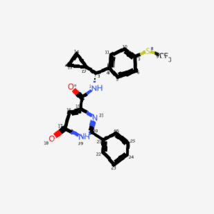 O=C(N[C@@H](c1ccc(SC(F)(F)F)cc1)C1CC1)c1cc(=O)[nH]c(-c2ccccc2)n1